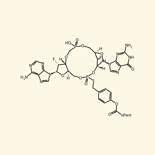 CCCCCC(=O)Oc1ccc(CSP2(=O)OC[C@H]3O[C@@H](n4cnc5c(N)ncnc54)[C@H](F)[C@@H]3OCP(=O)(O)OC[C@H]3O[C@@H](n4cnc5c(=O)[nH]c(N)nc54)[C@H](O2)[C@@H]3F)cc1